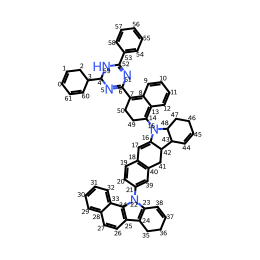 C1=CCC(C2N=C(C3=c4ccccc4=C(N4C5=Cc6ccc(-n7c8c(c9ccc%10ccccc%10c97)CCC=C8)cc6CC5C5C=CCCC54)CC3)N=C(c3ccccc3)N2)C=C1